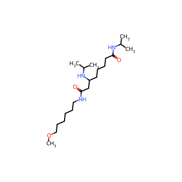 COCCCCCCNC(=O)CC(CCCCC(=O)NC(C)C)NC(C)C